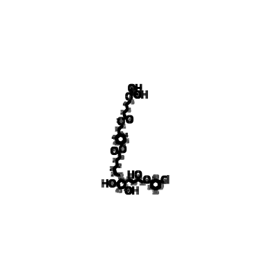 O=C(CCCCON(O)O)OCCc1ccc(OC(=O)CCC/C=C\C[C@@H]2[C@@H](/C=C/[C@@H](O)COc3cccc(Cl)c3)[C@H](O)C[C@@H]2O)cc1